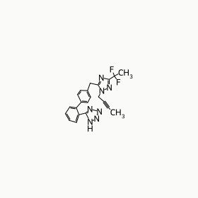 CC#CCn1nc(C(C)(F)F)nc1Cc1ccc(-c2ccccc2-c2nnn[nH]2)cc1